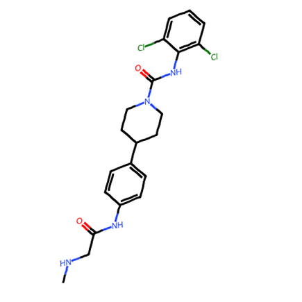 CNCC(=O)Nc1ccc(C2CCN(C(=O)Nc3c(Cl)cccc3Cl)CC2)cc1